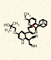 CSc1ccc(CN2C3CC2CN(c2ccc(C4=CC(OCC(C)(C)O)=CN/C4=C(/C#N)C=N)cn2)C3)cn1